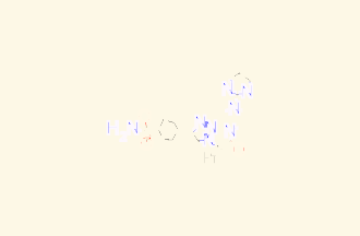 CC(C)[C@@H](C(=O)N1CCN(c2ncccn2)CC1)n1cc(-c2ccc(S(N)(=O)=O)cc2)nn1